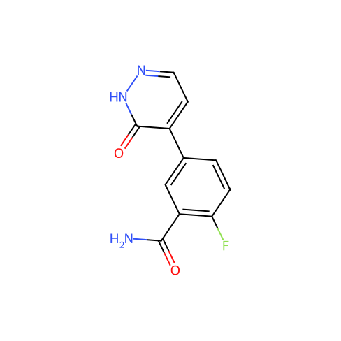 NC(=O)c1cc(-c2ccn[nH]c2=O)ccc1F